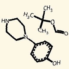 CC(C)(C)OC=O.Oc1ccc(N2CCNCC2)cc1